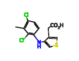 Cc1c(Cl)ccc(Nc2cscc2CC(=O)O)c1Cl